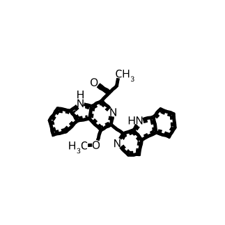 CCC(=O)c1nc(-c2nccc3c2[nH]c2ccccc23)c(OC)c2c1[nH]c1ccccc12